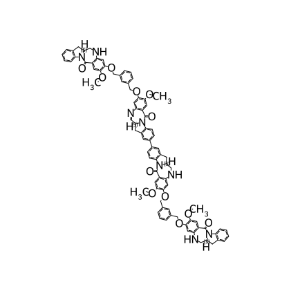 COc1cc2c(cc1OCc1cccc(COc3cc4c(cc3OC)C(=O)N3c5ccccc5C[C@H]3CN4)c1)N=C[C@@H]1Cc3cc(-c4ccc5c(c4)C[C@H]4CNc6cc(OCc7cccc(COc8cc9c(cc8OC)C(=O)N8c%10ccccc%10C[C@H]8CN9)c7)c(OC)cc6C(=O)N54)ccc3N1C2=O